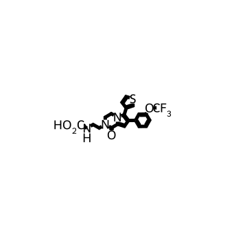 O=C(O)NCCN1CCn2c(cc(-c3cccc(OC(F)(F)F)c3)c2-c2ccsc2)C1=O